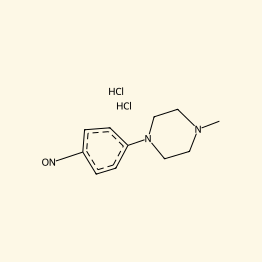 CN1CCN(c2ccc(N=O)cc2)CC1.Cl.Cl